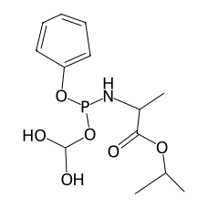 CC(C)OC(=O)C(C)NP(Oc1ccccc1)OC(O)O